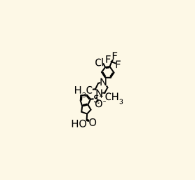 CC1CN(c2ccc(C(F)(F)F)c(Cl)c2)CC(C)N1[S+]([O-])c1cccc2c1CC(C(=O)O)C2